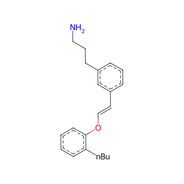 CCCCc1ccccc1OC=Cc1cccc(CCCN)c1